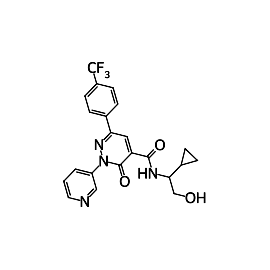 O=C(NC(CO)C1CC1)c1cc(-c2ccc(C(F)(F)F)cc2)nn(-c2cccnc2)c1=O